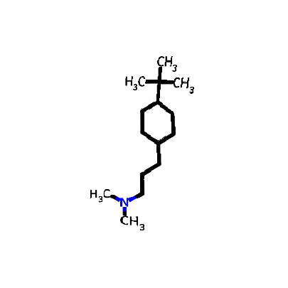 CN(C)CCCC1CCC(C(C)(C)C)CC1